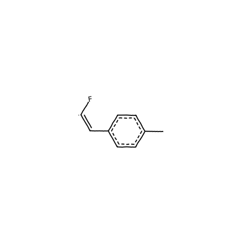 Cc1ccc(/C=[C]\F)cc1